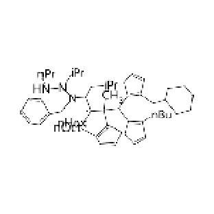 CCCCCCCCC1=C(C(C)([C](CCCCCC)C(CC(C)C)N(Cc2ccccc2)N(NCCC)C(C)C)C(C2=C(CCCC)C=CC2)C2=C(CC3CCCCC3)C=CC2)CC=C1